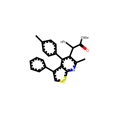 CCCC(C(=O)OC)c1c(C)nc2scc(-c3ccccc3)c2c1-c1ccc(C)cc1